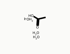 CC(=O)O.O.O.O.[Ir]